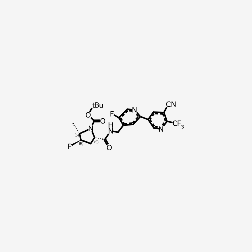 C[C@H]1[C@H](F)C[C@@H](C(=O)NCc2cc(-c3cnc(C(F)(F)F)c(C#N)c3)ncc2F)N1C(=O)OC(C)(C)C